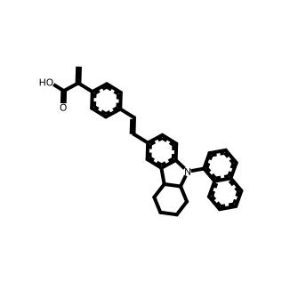 C=C(C(=O)O)c1ccc(C=Cc2ccc3c(c2)C2CCCCC2N3c2cccc3ccccc23)cc1